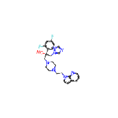 OC(CN1CCN(CCn2ccc3cccnc32)CC1)(Cn1cncn1)c1ccc(F)cc1F